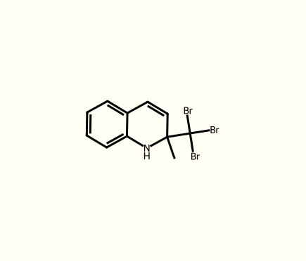 CC1(C(Br)(Br)Br)C=Cc2ccccc2N1